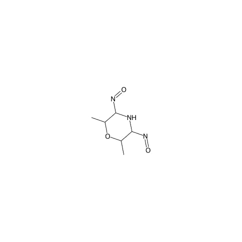 CC1OC(C)C(N=O)NC1N=O